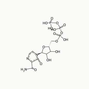 NC(=O)c1nccn([C@H]2O[C@H](COP(=O)(O)OP(=O)(O)OP(=O)(O)O)C(O)C2O)c1=O